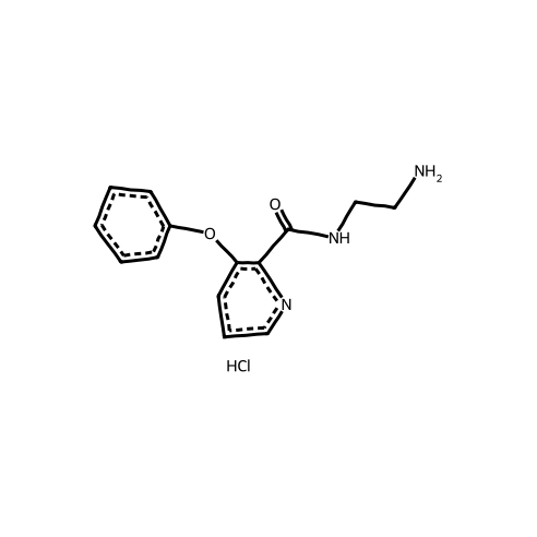 Cl.NCCNC(=O)c1ncccc1Oc1ccccc1